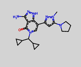 Cn1nc(-c2cn(C(C3CC3)C3CC3)c(=O)c3c(N)n[nH]c23)cc1N1CCCC1